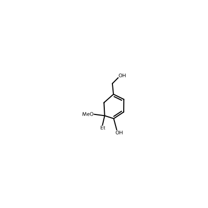 CCC1(OC)CC(CO)=CC=C1O